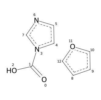 O=C(O)n1ccnc1.c1ccoc1